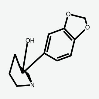 OC1(c2ccc3c(c2)OCO3)CN2CCC1CC2